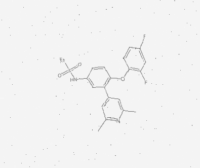 CCS(=O)(=O)Nc1ccc(Oc2ccc(F)cc2F)c(-c2cc(C)nc(C)c2)c1